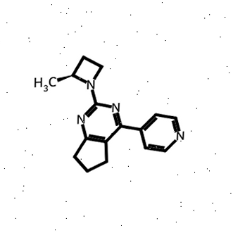 C[C@H]1CCN1c1nc2c(c(-c3ccncc3)n1)CCC2